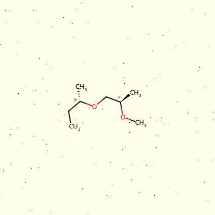 CC[C@H](C)OC[C@@H](C)OC